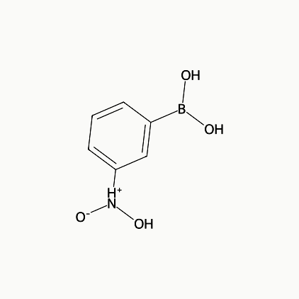 [O-][NH+](O)c1cccc(B(O)O)c1